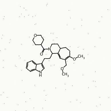 COCC1=C(OC)CCC2CCN(C(=O)C3CCOCC3)C(CCc3c[nH]c4ccccc34)C2=C1